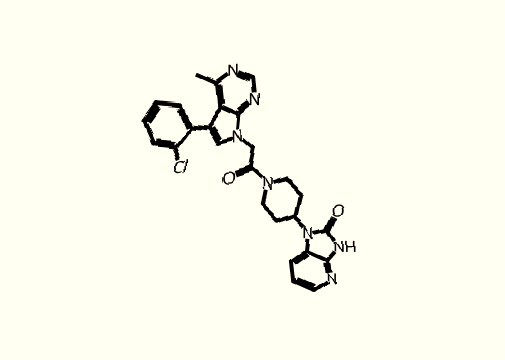 Cc1ncnc2c1c(-c1ccccc1Cl)cn2CC(=O)N1CCC(n2c(=O)[nH]c3ncccc32)CC1